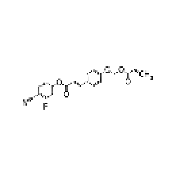 C=CC(=O)OCOc1ccc(C=CC(=O)Oc2ccc(C#N)c(F)c2)cc1